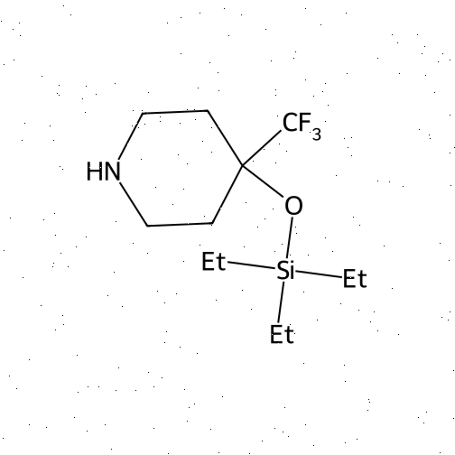 CC[Si](CC)(CC)OC1(C(F)(F)F)CCNCC1